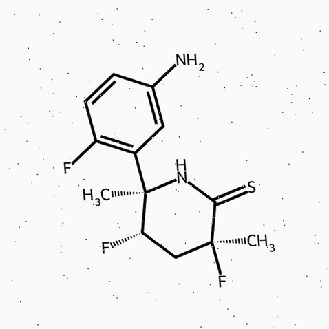 C[C@]1(F)C[C@H](F)[C@@](C)(c2cc(N)ccc2F)NC1=S